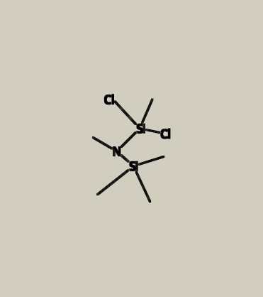 CN([Si](C)(C)C)[Si](C)(Cl)Cl